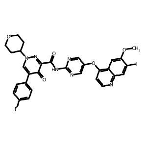 COc1cc2c(Oc3cnc(NC(=O)c4nn(C5CCOCC5)cc(-c5ccc(F)cc5)c4=O)nc3)ccnc2cc1I